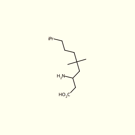 CC(C)CCCC(C)(C)CC(N)CC(=O)O